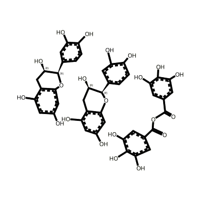 O=C(OC(=O)c1cc(O)c(O)c(O)c1)c1cc(O)c(O)c(O)c1.Oc1cc(O)c2c(c1)O[C@H](c1ccc(O)c(O)c1)[C@H](O)C2.Oc1cc(O)c2c(c1)O[C@H](c1ccc(O)c(O)c1)[C@H](O)C2